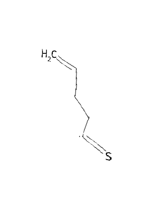 C=CCC[C]=S